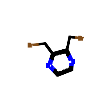 BrCc1nccnc1CBr